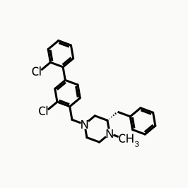 CN1CCN(Cc2ccc(-c3ccccc3Cl)cc2Cl)C[C@@H]1Cc1ccccc1